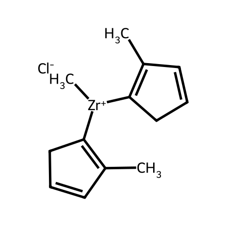 CC1=[C]([Zr+]([CH3])[C]2=C(C)C=CC2)CC=C1.[Cl-]